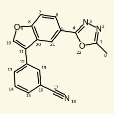 Cc1nnc(-c2ccc3occ(-c4cccc(C#N)c4)c3c2)o1